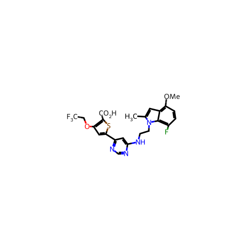 COc1ccc(F)c2c1cc(C)n2CCNc1cc(-c2cc(OCC(F)(F)F)c(C(=O)O)s2)ncn1